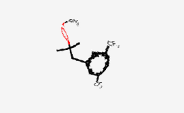 CC(C)(Cc1cc(C(F)(F)F)cc(C(F)(F)F)c1)O[SiH3]